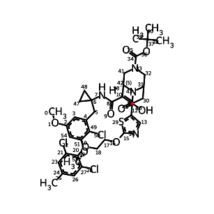 COc1cc(CC2(NC(=O)C3=C(c4cnc(OCCOc5c(Cl)cc(C)cc5Cl)s4)CC4CN(C(=O)OC(C)(C)C)C[C@H]3N4C(=O)O)CC2)c(Cl)c(OC)c1